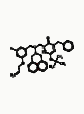 C=CCOc1cc(F)cc(C[C@@H](C[C@H](NC(=O)OC(C)(C)C)C(=O)NCc2ccccc2)N(Cc2ccccc2)Cc2ccccc2)c1